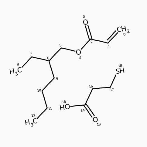 C=CC(=O)OCC(CC)CCCC.O=C(O)CCS